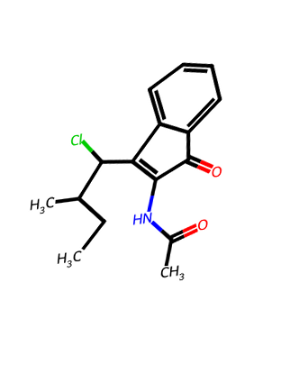 CCC(C)C(Cl)C1=C(NC(C)=O)C(=O)c2ccccc21